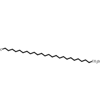 CCOC(=O)CCCCCCCCCCCCCCCCCCCCCCCCC(=O)O